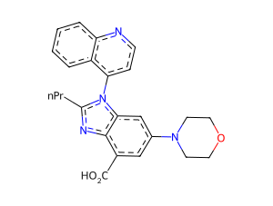 CCCc1nc2c(C(=O)O)cc(N3CCOCC3)cc2n1-c1ccnc2ccccc12